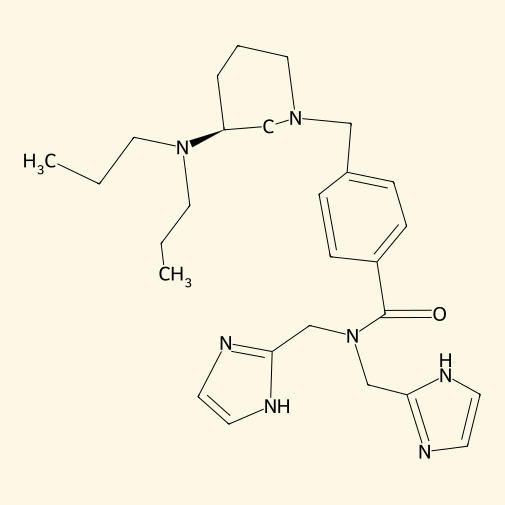 CCCN(CCC)[C@H]1CCCN(Cc2ccc(C(=O)N(Cc3ncc[nH]3)Cc3ncc[nH]3)cc2)C1